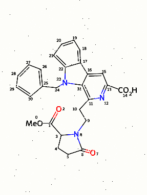 COC(=O)C1CCC(=O)N1CCc1nc(C(=O)O)cc2c3ccccc3n(Cc3ccccc3)c12